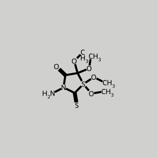 COC1(OC)C(=O)N(N)C(=S)S1(OC)OC